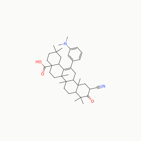 CN(C)c1cccc(C2=C3C4CC(C)(C)CCC4(C(=O)O)CCC3(C)C3(C)CCC4C(C)(C)C(=O)C(C#N)CC4(C)C3C2)c1